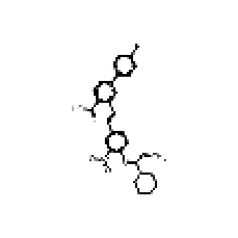 C=CC(Oc1ccc(/C=C/c2cc(-c3ccc(F)cc3)ccc2C(=O)O)cc1[N+](=O)[O-])C1CCCCC1